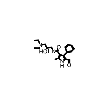 CCN(CC)CC(O)CNC(=O)c1c(C)[nH]c(C=O)c1-c1ccccc1